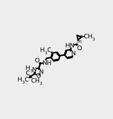 Cc1cc(-c2ccnc(NC(=O)[C@@H]3C[C@H]3C)c2)ccc1CNC(=O)c1noc(C(C)(C)C)n1